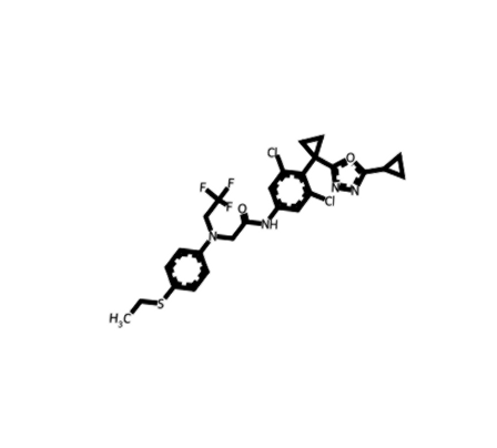 CCSc1ccc(N(CC(=O)Nc2cc(Cl)c(C3(c4nnc(C5CC5)o4)CC3)c(Cl)c2)CC(F)(F)F)cc1